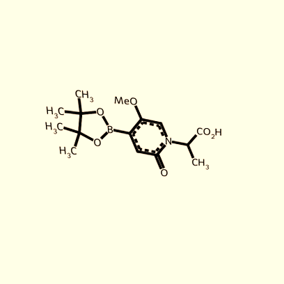 COc1cn(C(C)C(=O)O)c(=O)cc1B1OC(C)(C)C(C)(C)O1